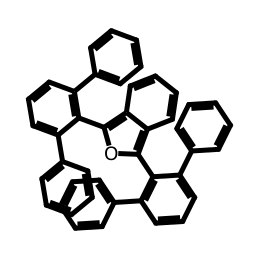 c1ccc(-c2cccc(-c3ccccc3)c2-c2oc(-c3c(-c4ccccc4)cccc3-c3ccccc3)c3ccccc23)cc1